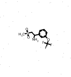 CS(=O)(=O)CC(N)c1cccc(OC(F)(F)F)c1